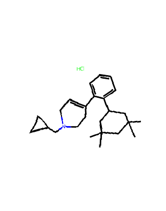 CC1(C)CC(c2ccccc2C2=CCN(CC3CC3)CC2)CC(C)(C)C1.Cl